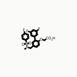 CN(Cc1ccc(OCC(=O)O)c(-c2cc(F)cc(F)c2)c1)S(=O)(=O)c1ccc(F)cc1